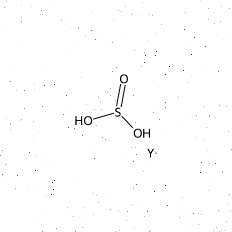 O=S(O)O.[Y]